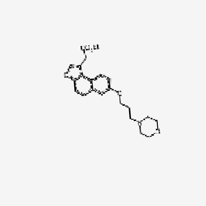 CCOC(=O)Cc1coc2ccc3cc(OCCCN4CCOCC4)ccc3c12